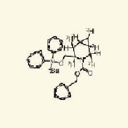 [2H]C1[C@@]2([2H])C([2H])([2H])[C@@]([2H])(CO[Si](c3ccccc3)(c3ccccc3)C(C)(C)C)N(C(=O)OCc3ccccc3)C([2H])([2H])[C@@]12[2H]